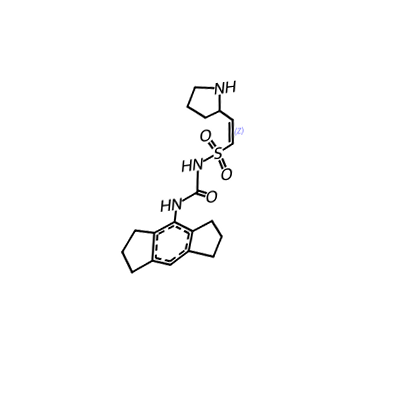 O=C(Nc1c2c(cc3c1CCC3)CCC2)NS(=O)(=O)/C=C\C1CCCN1